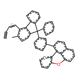 C#C/C=C\c1c(C)ccc2c1-c1ccccc1C2(c1ccccc1)c1cccc(-c2ccc3cccc4c3c2-c2ccccc2O4)c1